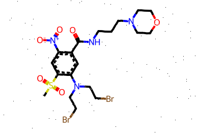 CS(=O)(=O)c1cc([N+](=O)[O-])c(C(=O)NCCCN2CCOCC2)cc1N(CCBr)CCBr